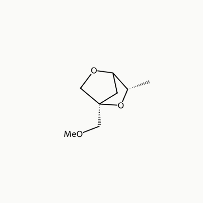 COC[C@]12COC(C1)[C@H](C)O2